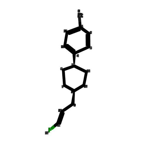 CCc1ccc([C@H]2CC[C@H](C/C=C/F)CC2)cc1